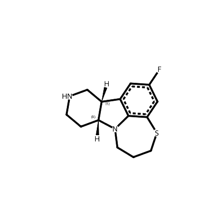 Fc1cc2c3c(c1)[C@H]1CNCC[C@H]1N3CCCS2